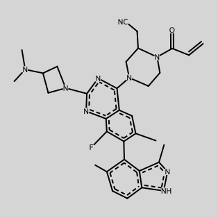 C=CC(=O)N1CCN(c2nc(N3CC(N(C)C)C3)nc3c(F)c(-c4c(C)ccc5[nH]nc(C)c45)c(C)cc23)CC1CC#N